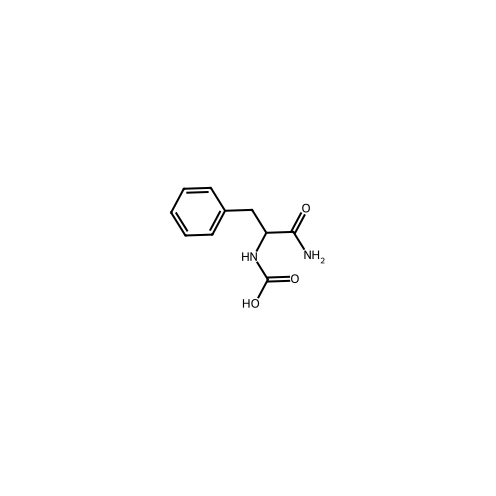 NC(=O)C(Cc1ccccc1)NC(=O)O